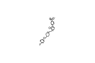 O=C1N(CCN2CCC(COc3ccc(F)cc3)CC2)CCN1c1ccc([N+](=O)[O-])cc1